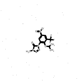 CC(C)Oc1c(-n2nnn(C)c2=O)cc([N+](=O)[O-])cc1C(F)(F)F